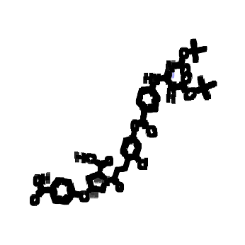 CC(C)(C)OC(=O)/N=C(\NC(=O)OC(C)(C)C)Nc1ccc(C(=O)Oc2ccc(CCC(=O)N3C[C@@H](Oc4ccc(C(=O)O)cc4)C[C@H]3C(=O)O)c(Cl)c2)cc1